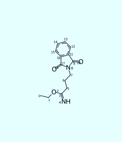 CCOC(=N)CCCN1C(=O)c2ccccc2C1=O